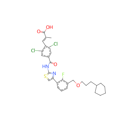 C/C(=C\c1c(Cl)cc(C(=O)Nc2nc(-c3cccc(COCCCC4CCCCC4)c3F)cs2)cc1Cl)C(=O)O